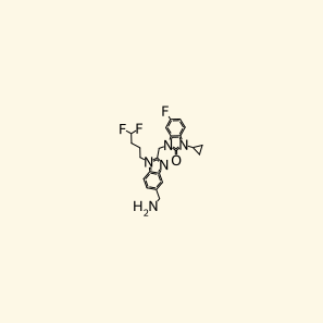 NCc1ccc2c(c1)nc(Cn1c(=O)n(C3CC3)c3ccc(F)cc31)n2CCCC(F)F